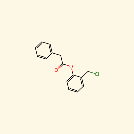 O=C(Cc1ccccc1)Oc1ccccc1CCl